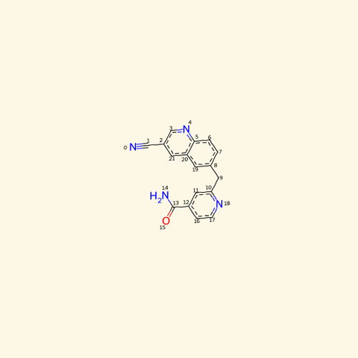 N#Cc1cnc2ccc(Cc3cc(C(N)=O)ccn3)cc2c1